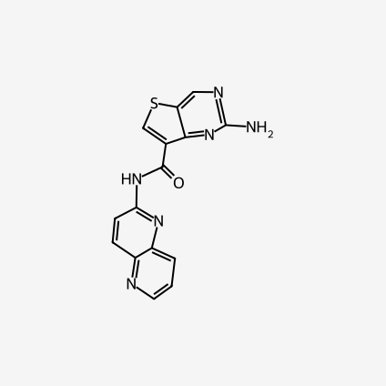 Nc1ncc2scc(C(=O)Nc3ccc4ncccc4n3)c2n1